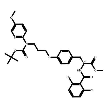 COC(=O)[C@H](Cc1ccc(OCCCN(C(=O)OC(C)(C)C)c2ccc(OC)cn2)cc1)NC(=O)c1c(Cl)cccc1Cl